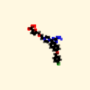 Nc1nc2c(c(N3CCN(CCOC[C@@H]4CC[C@H](C(=O)O)O4)CC3)n1)CCc1cc(OCc3ccc(Cl)cc3)ccc1-2